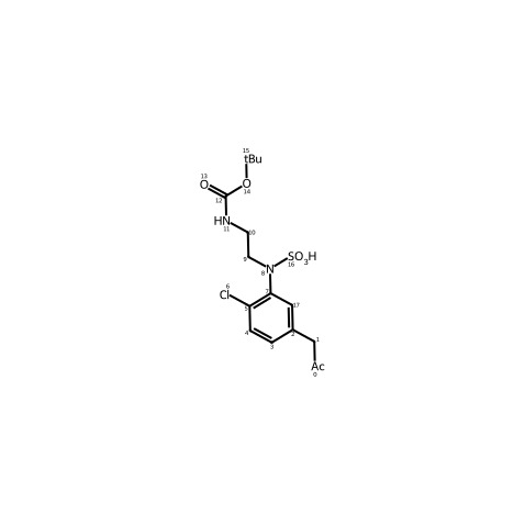 CC(=O)Cc1ccc(Cl)c(N(CCNC(=O)OC(C)(C)C)S(=O)(=O)O)c1